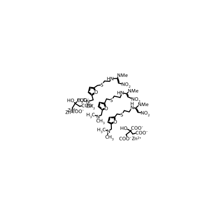 CNC(=C[N+](=O)[O-])NCCSCc1ccc(CN(C)C)o1.CNC(=C[N+](=O)[O-])NCCSCc1ccc(CN(C)C)o1.CNC(=C[N+](=O)[O-])NCCSCc1ccc(CN(C)C)o1.O=C([O-])CC(O)(CC(=O)[O-])C(=O)[O-].O=C([O-])CC(O)(CC(=O)[O-])C(=O)[O-].[Zn+2].[Zn+2].[Zn+2]